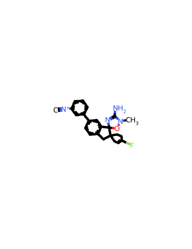 [C-]#[N+]c1cccc(-c2ccc3c(c2)C2(N=C(N)N(C)O2)C2(CC=C(F)CC2)C3)c1